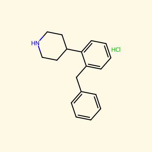 Cl.c1ccc(Cc2ccccc2C2CCNCC2)cc1